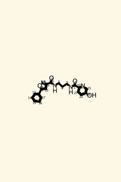 O=C(NCCCNC(=O)c1cc(-c2ccccc2)on1)c1ccc(O)cn1